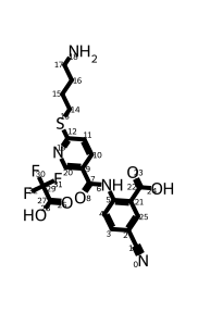 N#Cc1ccc(NC(=O)c2ccc(SCCCCN)nc2)c(C(=O)O)c1.O=C(O)C(F)(F)F